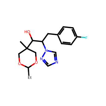 CCC1OCC(C)(C(O)C(Cc2ccc(F)cc2)n2cncn2)CO1